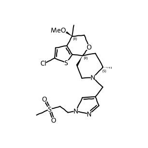 CO[C@@]1(C)CO[C@@]2(CCN(Cc3cnn(CCS(C)(=O)=O)c3)[C@@H](C)C2)c2sc(Cl)cc21